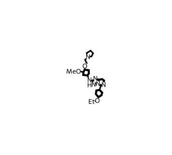 CCOc1ccc(-c2nccc3nc(Nc4ccc(OCCN5CCCC5)c(OC)c4)nn23)cc1